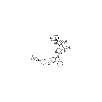 CC(F)(F)c1nc(N2CC3(CCCCC3)c3cc(O[C@H]4CC[C@H](N5CC(F)(F)C5)CC4)ncc32)ncc1C(=O)NC1(C(=O)O)C2CC3CC(C2)CC1C3